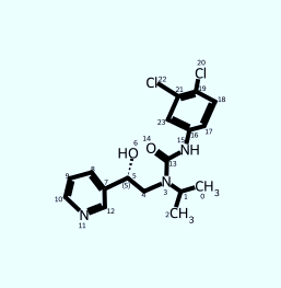 CC(C)N(C[C@@H](O)c1cccnc1)C(=O)Nc1ccc(Cl)c(Cl)c1